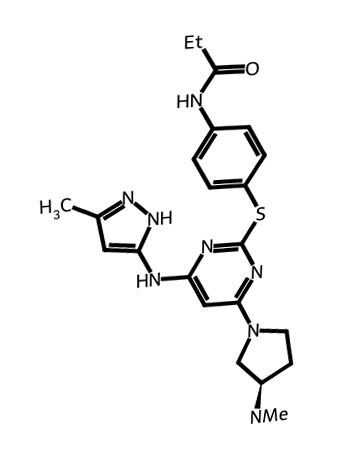 CCC(=O)Nc1ccc(Sc2nc(Nc3cc(C)n[nH]3)cc(N3CC[C@@H](NC)C3)n2)cc1